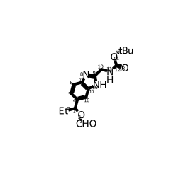 CCC(OC=O)c1ccc2nc(CNC(=O)OC(C)(C)C)[nH]c2c1